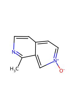 Cc1nccc2cc[n+]([O-])cc12